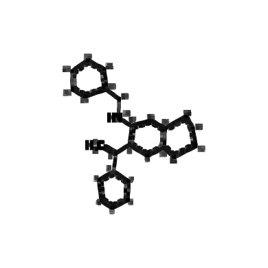 C=C(c1ccccc1)c1cc2ccccc2cc1NCc1ccccc1